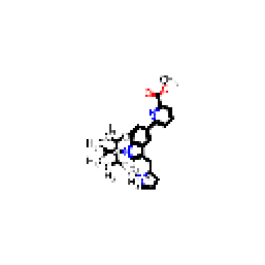 COC(=O)c1cccc(-c2ccc3c(c2)c(C[C@H]2CCCN2C)cn3[Si](C(C)C)(C(C)C)C(C)C)n1